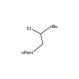 [CH2]CCC[C](CC)CCCCCC